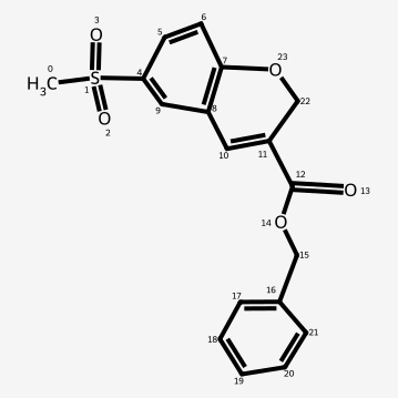 CS(=O)(=O)c1ccc2c(c1)C=C(C(=O)OCc1ccccc1)CO2